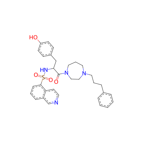 O=C(C(Cc1ccc(O)cc1)NS(=O)(=O)c1cccc2cnccc12)N1CCCN(CCCc2ccccc2)CC1